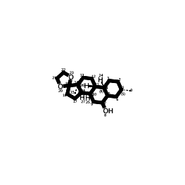 C[C@H]1CC[C@H]2C(C1)C(O)C[C@@H]1[C@@H]2CC[C@@]2(C)[C@H]1CCC21OCCO1